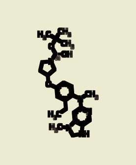 CCc1cc(OC2CCN([C@@H](O)OC(C)(C)C)C2)ccc1N(C)c1cc2c(cn1)NCN2C